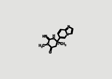 CN1C(=N)N[C@](C)(c2ccc3nccn3c2)CC1=O